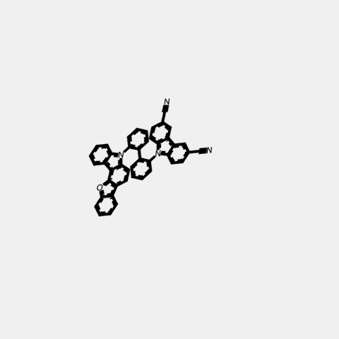 N#Cc1ccc2c(c1)c1cc(C#N)ccc1n2-c1ccccc1-c1ccccc1-n1c2ccccc2c2c3oc4ccccc4c3ccc21